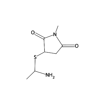 CC(N)SC1CC(=O)N(C)C1=O